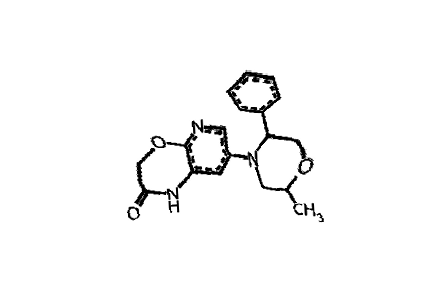 CC1CN(c2cnc3c(c2)NC(=O)CO3)C(c2ccccc2)CO1